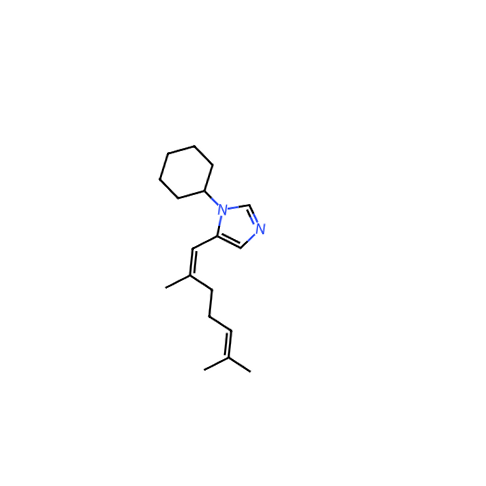 CC(C)=CCCC(C)=Cc1cncn1C1CCCCC1